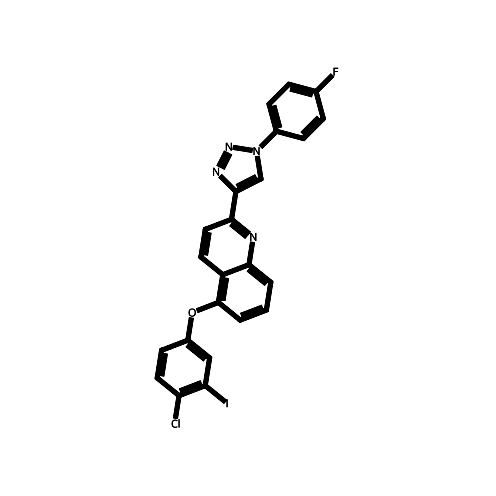 Fc1ccc(-n2cc(-c3ccc4c(Oc5ccc(Cl)c(I)c5)cccc4n3)nn2)cc1